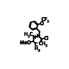 C=C(Cl)N(Cc1ccccc1OC(F)(F)F)N(C)C(C)OC